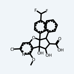 COc1nc(Cl)cc2c1C1(O)C(O)C(C(=O)O)C(c3ccccc3)C1(c1ccc(C(F)F)cc1)O2